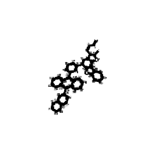 C=C/C=C\c1c(C)oc2c1cc(-c1cccc(-c3c4ccccc4c(-c4ccc5ccccc5c4)c4ccccc34)c1)c1oc3ccccc3c12